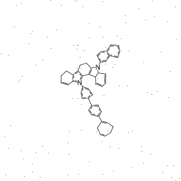 C1=CC2C3=C(CCc4c5c(n(-c6ccc(-c7ccc(C8=CCCC=CC8)cc7)cc6)c43)C=CCC5)N(c3ccc4ccccc4c3)C2C=C1